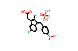 CC1=C(CC(=O)O)c2cc(F)ccc2/C1=C\c1ccc([S+](C)[O-])cc1.O=S(=O)(O)O